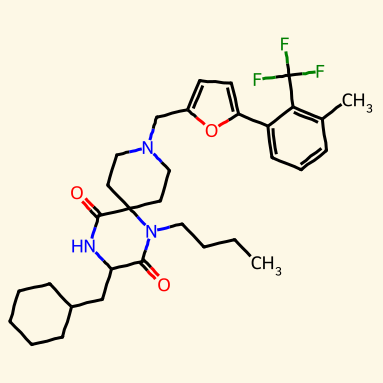 CCCCN1C(=O)C(CC2CCCCC2)NC(=O)C12CCN(Cc1ccc(-c3cccc(C)c3C(F)(F)F)o1)CC2